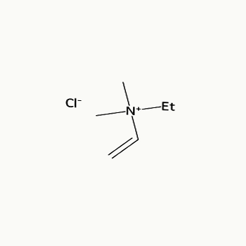 C=C[N+](C)(C)CC.[Cl-]